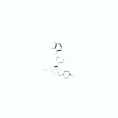 CNC[C@H](CC1CCC(F)(F)CC1)NC(=O)N1CCC[C@@H](Cc2cccc(Cl)c2F)C1